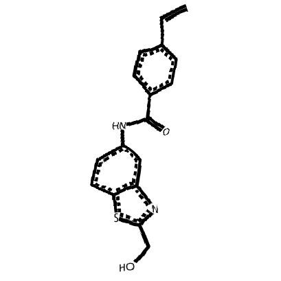 C=Cc1ccc(C(=O)Nc2ccc3sc(CO)nc3c2)cc1